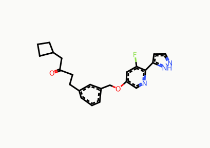 O=C(CCc1cccc(COc2cnc(-c3ccn[nH]3)c(F)c2)c1)CC1CCC1